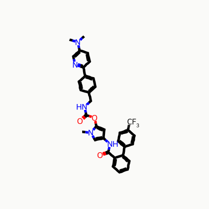 CN(C)c1ccc(-c2ccc(CNC(=O)Oc3cc(NC(=O)c4ccccc4-c4ccc(C(F)(F)F)cc4)cn3C)cc2)nc1